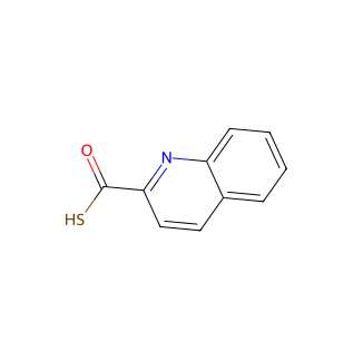 O=C(S)c1ccc2ccccc2n1